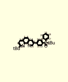 CC(C)(C)c1ccc2ccc3cc(-c4ccc(P(=O)(c5ccccc5)C(C)(C)C)cc4)cnc3c2n1